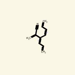 C=C/C=C\C(=C/C=C)C(=C)C#N